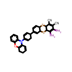 N#CC1=C(C#N)C2SC3C=CC(C4C=CC(N5C6=C(CCC=C6)Oc6ccccc65)=CC4)=CC3SC2C(P)=C1P